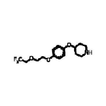 FC(F)(F)COCCOc1ccc(OC2CCNCC2)cc1